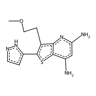 COCCc1c(-c2ccn[nH]2)sc2c(N)cc(N)nc12